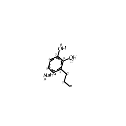 CCCc1cccc(O)c1O.[NaH]